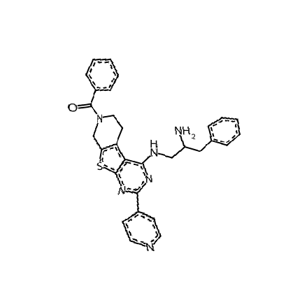 NC(CNc1nc(-c2ccncc2)nc2sc3c(c12)CCN(C(=O)c1ccccc1)C3)Cc1ccccc1